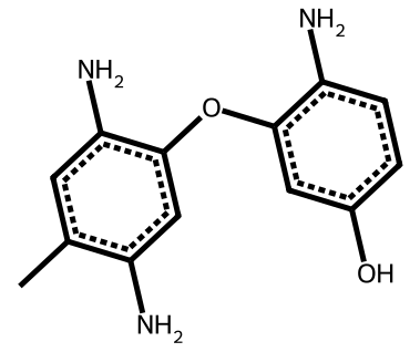 Cc1cc(N)c(Oc2cc(O)ccc2N)cc1N